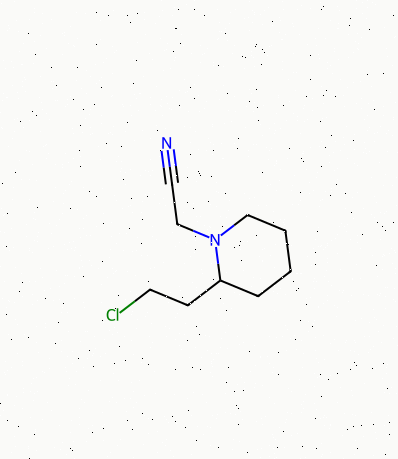 N#CCN1CCCCC1CCCl